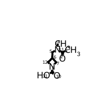 CC(=O)N(C)CC1CN(C(=O)O)C1